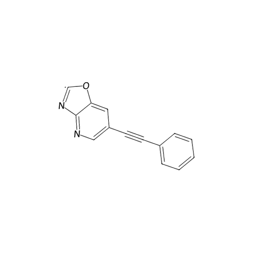 C(#Cc1cnc2n[c]oc2c1)c1ccccc1